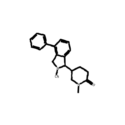 CN1CC(C2c3cccc(-c4ccccc4)c3CN2C#N)CCC1=O